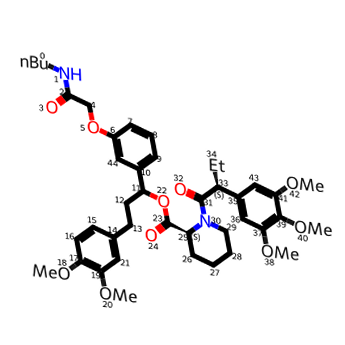 CCCCNC(=O)COc1cccc(C(CCc2ccc(OC)c(OC)c2)OC(=O)[C@@H]2CCCCN2C(=O)[C@@H](CC)c2cc(OC)c(OC)c(OC)c2)c1